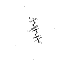 CC(CCC(F)(F)C(F)(F)C(F)(F)F)(C(=O)O)S(=O)(=O)CCC(F)(F)C(F)(F)F